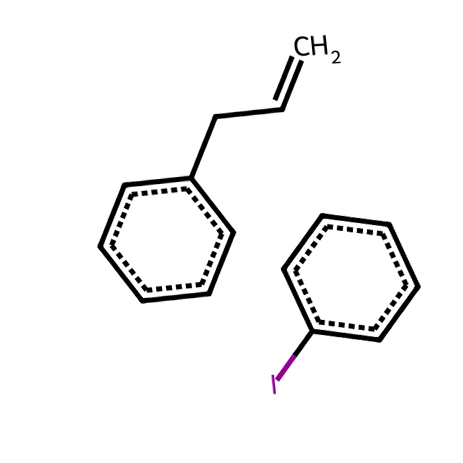 C=CCc1ccccc1.Ic1ccccc1